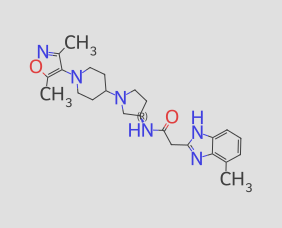 Cc1noc(C)c1N1CCC(N2CC[C@@H](NC(=O)Cc3nc4c(C)cccc4[nH]3)C2)CC1